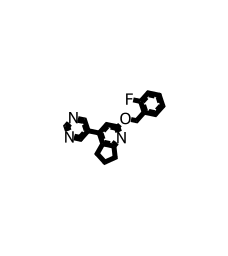 Fc1ccccc1COc1cc(-c2cncnc2)c2c(n1)CCC2